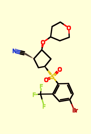 N#C[C@H]1C[C@H](S(=O)(=O)c2ccc(Br)cc2C(F)(F)F)C[C@@H]1OC1CCOCC1